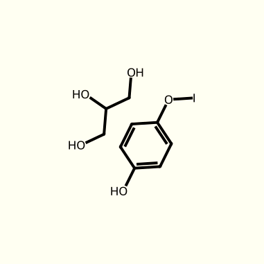 OCC(O)CO.Oc1ccc(OI)cc1